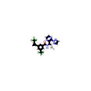 CC(NC(=O)c1cc(C2CC2C(F)(F)F)cc(C(F)(F)F)c1)c1nccnc1-n1nccn1